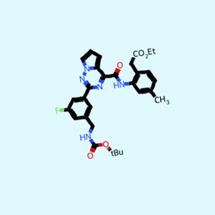 CCOC(=O)Cc1ccc(C)cc1NC(=O)c1nc(-c2cc(F)cc(CNC(=O)OC(C)(C)C)c2)nn2cccc12